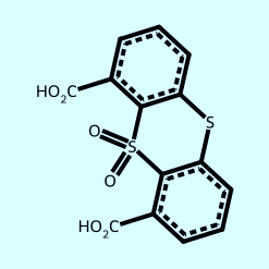 O=C(O)c1cccc2c1S(=O)(=O)c1c(cccc1C(=O)O)S2